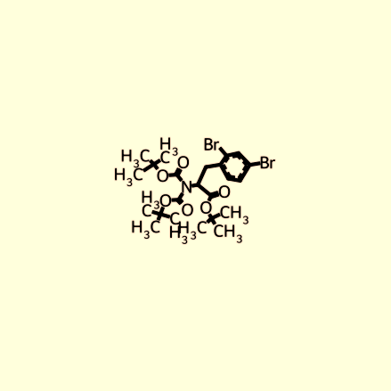 CC(C)(C)OC(=O)C(Cc1ccc(Br)cc1Br)N(C(=O)OC(C)(C)C)C(=O)OC(C)(C)C